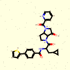 O=C(NC(CC1CC1)C(=O)N1CCC2C1C(=O)CN2C(=O)c1ccccn1)c1ccc(-c2cccs2)cc1